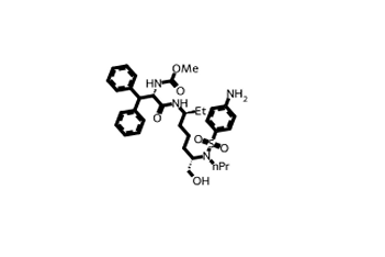 CCCN([C@H](CO)CCC[C@H](CC)NC(=O)[C@@H](NC(=O)OC)C(c1ccccc1)c1ccccc1)S(=O)(=O)c1ccc(N)cc1